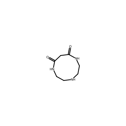 O=C1CC(=O)NCCNCCN1